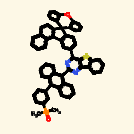 CP(C)(=O)c1cccc(-c2c3ccccc3c(-c3nc(-c4ccc5c(c4)-c4c(ccc6ccccc46)C54c5ccccc5Oc5ccccc54)c4sc5ccccc5c4n3)c3ccccc23)c1